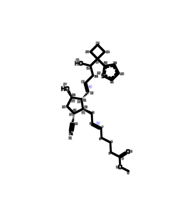 COC(=O)CCC/C=C/C[C@@H]1[C@@H](/C=C/CC(O)C2(c3cccs3)CCC2)[C@H](O)C[C@H]1C#N